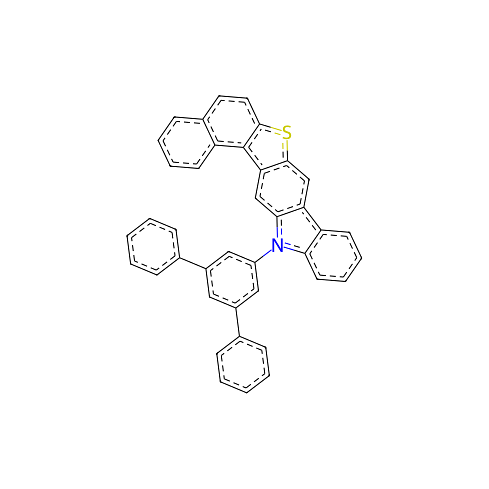 c1ccc(-c2cc(-c3ccccc3)cc(-n3c4ccccc4c4cc5sc6ccc7ccccc7c6c5cc43)c2)cc1